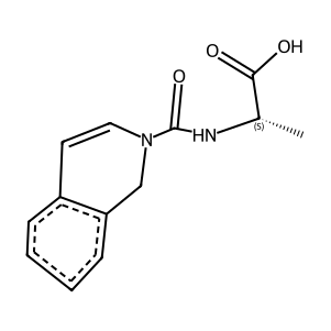 C[C@H](NC(=O)N1C=Cc2ccccc2C1)C(=O)O